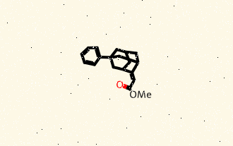 COC(=O)C=C1C2CC3CC1CC(c1ccccc1)(C3)C2